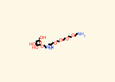 NCCOCCOCCOCCOCc1cn(CCO[C@@H]2O[C@H](CO)C[C@H](O)[C@H]2O)nn1